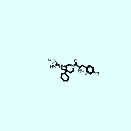 N=C(N)NCC1(C2CCCCC2)CCN(C(=O)C(N)Cc2ccc(Cl)cc2)CC1